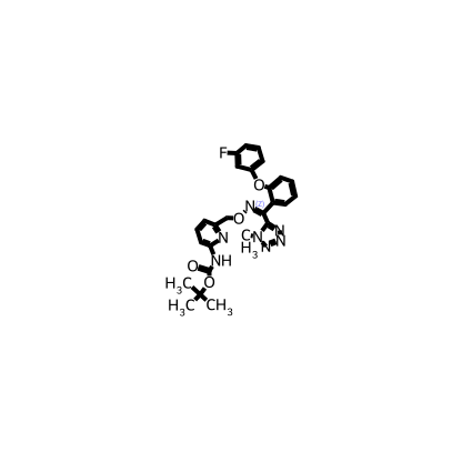 Cn1nnnc1/C(=N\OCc1cccc(NC(=O)OC(C)(C)C)n1)c1ccccc1Oc1cccc(F)c1